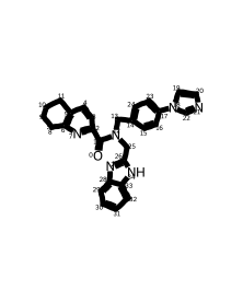 O=C(c1ccc2c(n1)[C]CCC2)N(Cc1ccc(-n2ccnc2)cc1)Cc1nc2ccccc2[nH]1